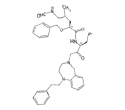 CC(C)C[C@H](NC(=O)[C@H](CC(C)CNC=O)OCc1ccccc1)C(=O)CN1CCN(CCc2ccccc2)c2ccccc2C1